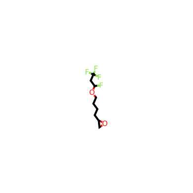 FC(CC(F)(F)F)OCCCCC1CO1